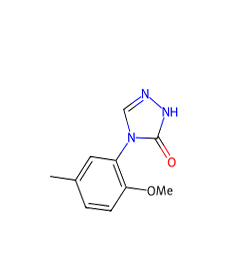 COc1ccc(C)cc1-n1cn[nH]c1=O